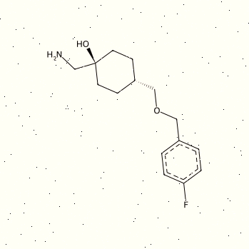 NC[C@]1(O)CC[C@H](COCc2ccc(F)cc2)CC1